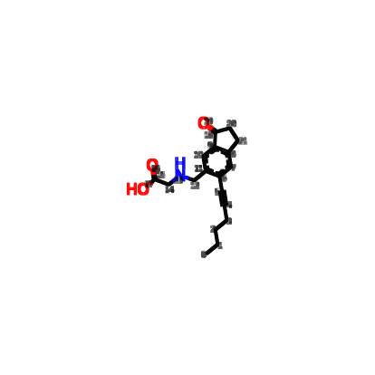 CCCCC#Cc1cc2c(cc1CNCC(=O)O)C(=O)CC2